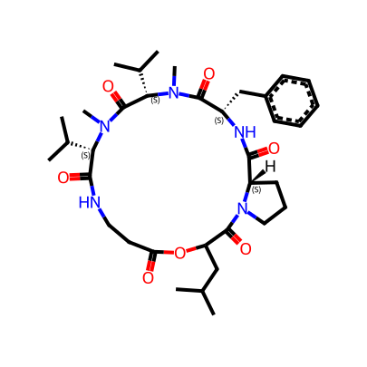 CC(C)CC1OC(=O)CCNC(=O)[C@H](C(C)C)N(C)C(=O)[C@H](C(C)C)N(C)C(=O)[C@H](Cc2ccccc2)NC(=O)[C@@H]2CCCN2C1=O